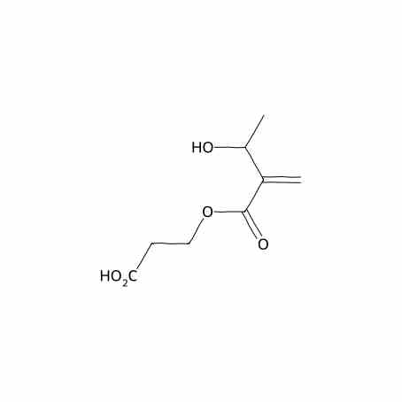 C=C(C(=O)OCCC(=O)O)C(C)O